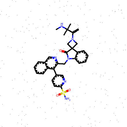 C=C(N1CC2(C1)C(=O)N(Cc1ncc3ccccc3c1-c1ccc(S(N)(=O)=O)nc1)c1ccccc12)C(C)(C)NC